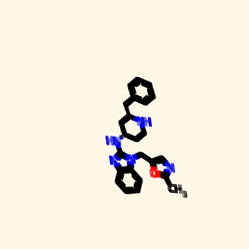 Cc1ncc(Cn2c(N[C@H]3CCN[C@H](Cc4ccccc4)C3)nc3ccccc32)o1